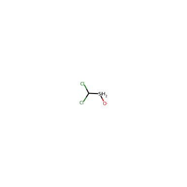 [O][SiH2]C(Cl)Cl